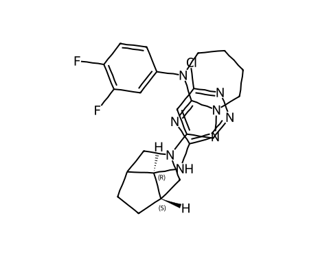 Fc1ccc(N2CCCCn3nc(N[C@@H]4C5CC[C@H]4CN(c4cnnc(Cl)c4)C5)nc32)cc1F